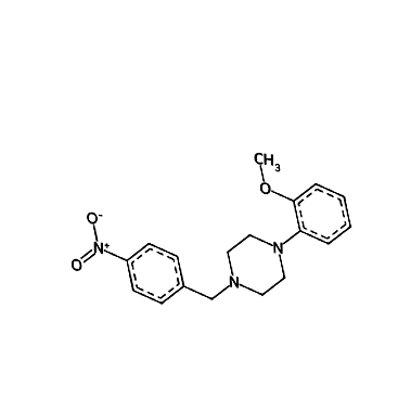 COc1ccccc1N1CCN(Cc2ccc([N+](=O)[O-])cc2)CC1